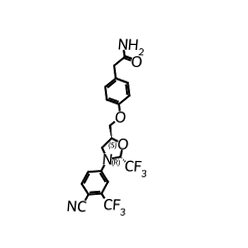 N#Cc1ccc(N2C[C@@H](COc3ccc(CC(N)=O)cc3)O[C@@H]2C(F)(F)F)cc1C(F)(F)F